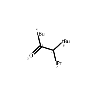 CC(C)C(C(=O)C(C)(C)C)C(C)(C)C